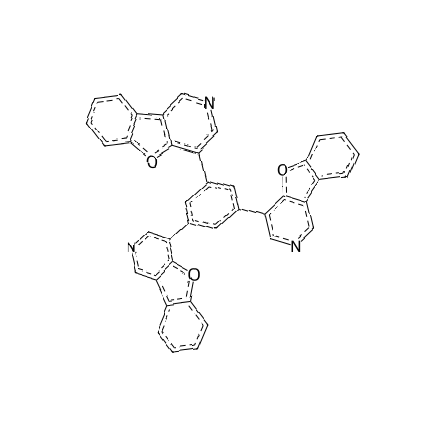 c1ccc2c(c1)oc1c(-c3cc(-c4cncc5c4oc4ccccc45)cc(-c4cncc5c4oc4ccccc45)c3)cncc12